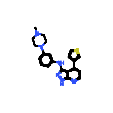 CN1CCN(c2cccc(Nc3n[nH]c4nccc(-c5ccsc5)c34)c2)CC1